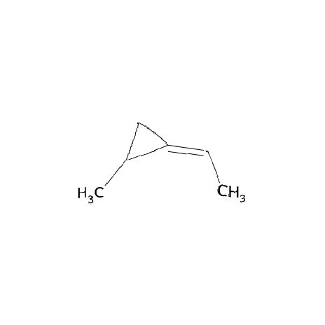 CC=C1CC1C